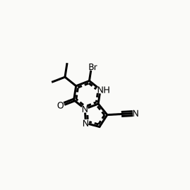 CC(C)c1c(Br)[nH]c2c(C#N)cnn2c1=O